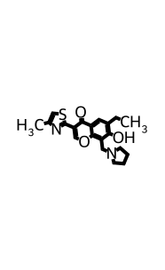 CCc1cc2c(=O)c(-c3nc(C)cs3)coc2c(CN2CCCC2)c1O